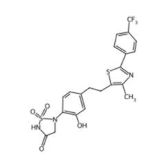 Cc1nc(-c2ccc(C(F)(F)F)cc2)sc1CCc1ccc(N2CC(=O)NS2(=O)=O)c(O)c1